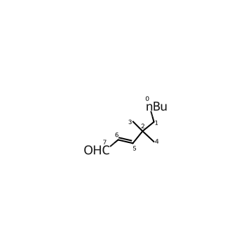 CCCCCC(C)(C)C=CC=O